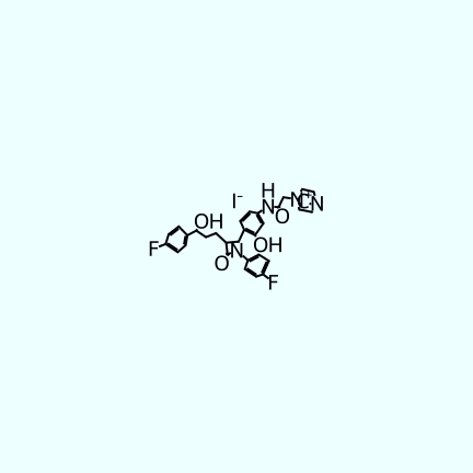 O=C(C[N+]12CCN(CC1)CC2)Nc1ccc(C2C(CCC(O)c3ccc(F)cc3)C(=O)N2c2ccc(F)cc2)c(O)c1.[I-]